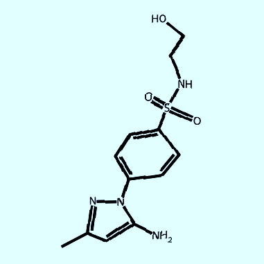 Cc1cc(N)n(-c2ccc(S(=O)(=O)NCCO)cc2)n1